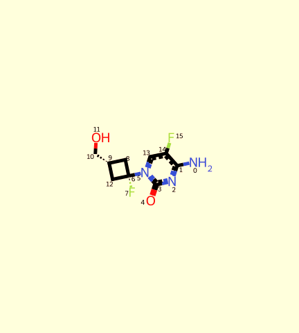 Nc1nc(=O)n([C@]2(F)C[C@@H](CO)C2)cc1F